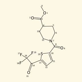 COC(=O)C1CCN(C(=O)c2ccc(C(=O)C(F)(F)F)s2)CC1